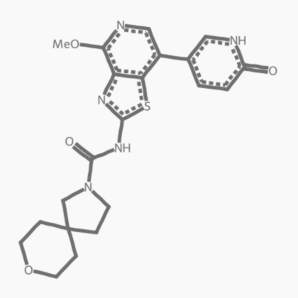 COc1ncc(-c2ccc(=O)[nH]c2)c2sc(NC(=O)N3CCC4(CCOCC4)C3)nc12